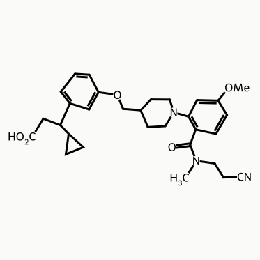 COc1ccc(C(=O)N(C)CCC#N)c(N2CCC(COc3cccc(C(CC(=O)O)C4CC4)c3)CC2)c1